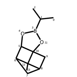 CC(C)B1OC2C3CC4CC2(O1)C43C